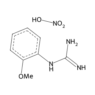 COc1ccccc1NC(=N)N.O=[N+]([O-])O